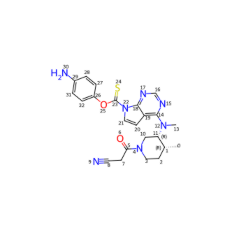 C[C@@H]1CCN(C(=O)CC#N)C[C@@H]1N(C)c1ncnc2c1ccn2C(=S)Oc1ccc(N)cc1